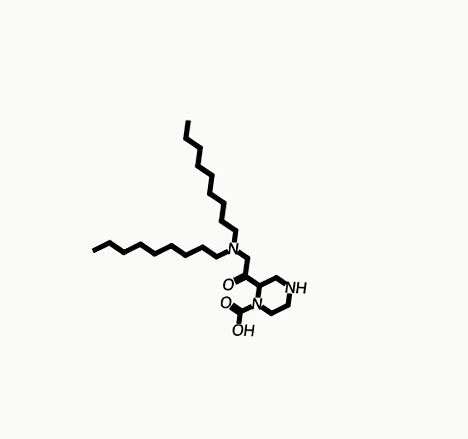 CCCCCCCCCN(CCCCCCCCC)CC(=O)C1CNCCN1C(=O)O